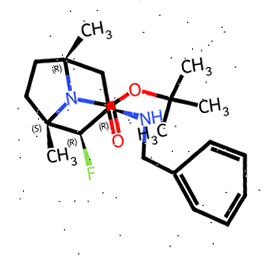 CC(C)(C)OC(=O)N1[C@]2(C)CC[C@@]1(C)[C@H](F)[C@H](NCc1ccccc1)C2